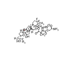 C[C@H](NC(=O)[C@H](CC(N)=O)NCl)C(=O)O[C@H]1C[C@@H]2[C@]3(CC[C@]4(C)[C@@H]([C@]5(C)CC[C@@H](C(C)(C)O)O5)[C@@H](O)C[C@@]24C)C[C@@]32CCC(F)(F)C(C)(C)[C@H]12